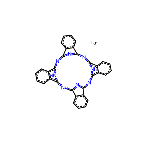 [Ta].c1ccc2c(c1)-c1nc-2nc2[nH]c(nc3nc(nc4[nH]c(n1)c1ccccc41)-c1ccccc1-3)c1ccccc21